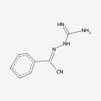 N#C/C(=N\NC(=N)N)c1ccccc1